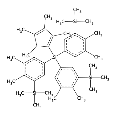 CC1=C(C)C(C)C([Si](c2cc(C)c(C)c([Si](C)(C)C)c2)(c2cc(C)c(C)c([Si](C)(C)C)c2)c2cc(C)c(C)c([Si](C)(C)C)c2)=C1C